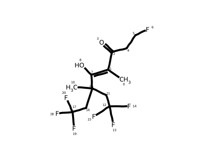 C/C(C(=O)CCF)=C(/O)C(C)(CC(F)(F)F)CC(F)(F)F